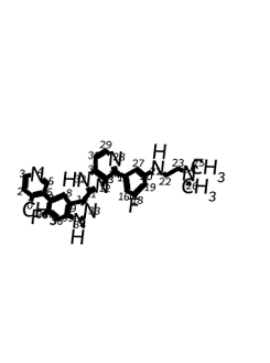 Cc1ccncc1-c1cc2c(-c3nc4c(-c5cc(F)cc(NCCN(C)C)c5)nccc4[nH]3)n[nH]c2cc1F